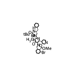 COC(=O)c1c(Br)cccc1C=Nc1c(-c2ccncc2)nc(NC[C@H](Cc2ccccc2)NC(=O)OC(C)(C)C)n(C)c1=O